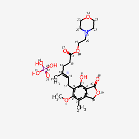 COc1c(C)c2c(c(O)c1C/C=C(\C)CCC(=O)OCCN1CCOCC1)C(=O)OC2.O=P(O)(O)O